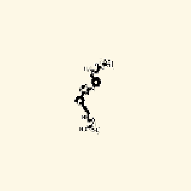 CN(CC(=O)OC(C)(C)C)Cc1cccc(Nc2ncnc(-c3ccnc(C#CCNC(=O)OC(C)(C)C)c3)n2)c1